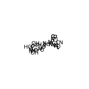 C=CC(=O)N1CCN(c2nc(OC[C@@H]3C[C@@H](OCC(=O)NCc4ccc(-n5c(O)nnc5-c5cc(C(C)C)c(O)cc5O)cc4)CN3C)nc3c2CCN(c2cccc4cccc(Cl)c24)C3)CC1CC#N